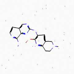 CNc1nccc2cnc(Nc3cc4c(nc3OC)CCN(C)C4)nc12